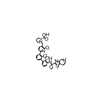 COc1nc(-c2cccc(-c3cccc(NC(=O)c4nc5c(n4C)CCN(C)C5)c3Cl)c2Cl)ccc1CN1CCC[C@H]1C(=O)O